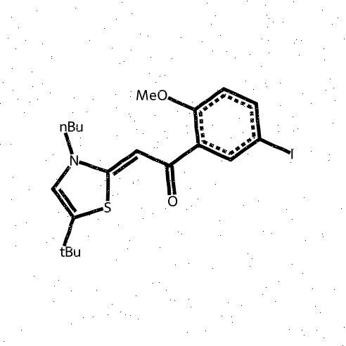 CCCCN1C=C(C(C)(C)C)SC1=CC(=O)c1cc(I)ccc1OC